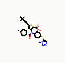 Cn1nncc1S[C@H]1CC[C@H](N(c2cc(C#CC(C)(C)C)sc2C(=O)O)C(=O)[C@H]2CC[C@H](C)CC2)CC1